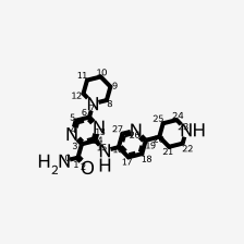 NC(=O)c1ncc(N2CCCCC2)nc1Nc1ccc(C2CCNCC2)nc1